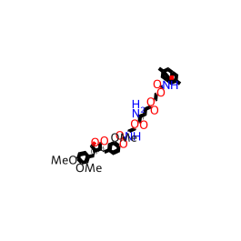 COc1ccc(C[C@H]2COC(=O)[C@@H]2Cc2ccc(OC(=O)NCCOC(=O)[C@@H](N)CCC(=O)OCCOC(=O)NC34CC5CC(C)(CC(C)(C5)C3)C4)c(OC)c2)cc1OC